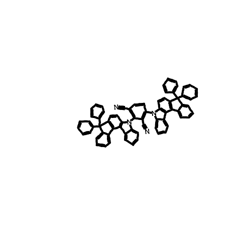 N#Cc1ccc(-n2c3ccccc3c3c4c(ccc32)C(c2ccccc2)(c2ccccc2)c2ccccc2-4)c(C#N)c1-n1c2ccccc2c2c3c(ccc21)C(c1ccccc1)(c1ccccc1)c1ccccc1-3